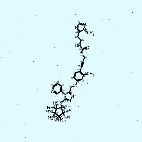 Cc1cc(OCc2nnc(SC3(S)C(S)(S)C(S)(S)C(S)(S)C3(S)S)n2-c2cccnc2)ccc1C#CCOC(=O)NCCc1ncnn1C